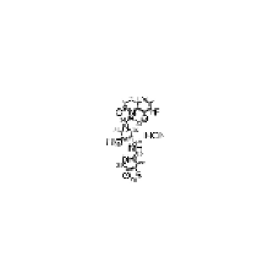 Cl.O=c1ccc2ncc(F)c3c2n1[C@H](CN1C[C@H](CNCc2cc4c(cn2)OCS4)[C@@H](O)C1)CO3